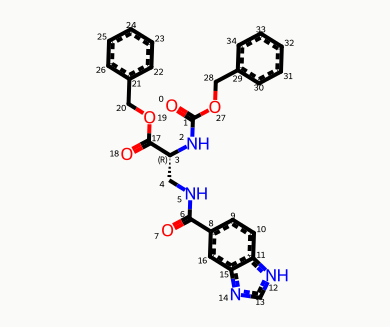 O=C(N[C@H](CNC(=O)c1ccc2[nH]cnc2c1)C(=O)OCc1ccccc1)OCc1ccccc1